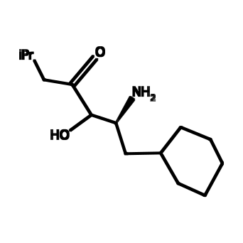 CC(C)CC(=O)C(O)[C@@H](N)CC1CCCCC1